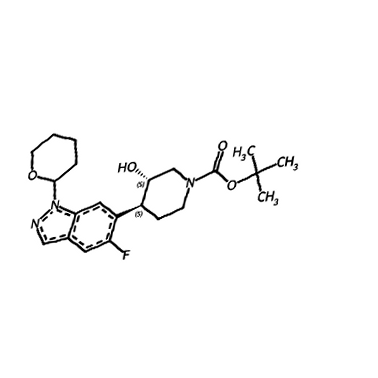 CC(C)(C)OC(=O)N1CC[C@@H](c2cc3c(cnn3C3CCCCO3)cc2F)[C@H](O)C1